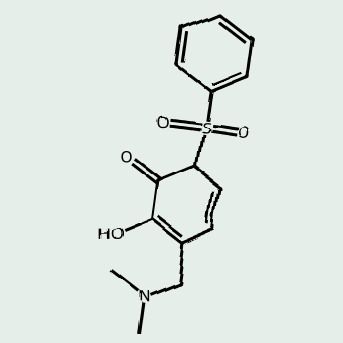 CN(C)CC1=C(O)C(=O)C(S(=O)(=O)c2ccccc2)C=C1